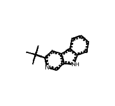 CC(C)(C)c1cc2c(cn1)[nH]c1ccccc12